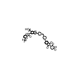 CC(C)(O)c1cc2nn(C3CCN(CC4CCN(c5ccc6c(c5)C(=O)N(C5CCC(=O)NC5=O)C6=O)CC4)CC3)cc2cc1NC(=O)c1cccc(C(F)(F)F)n1